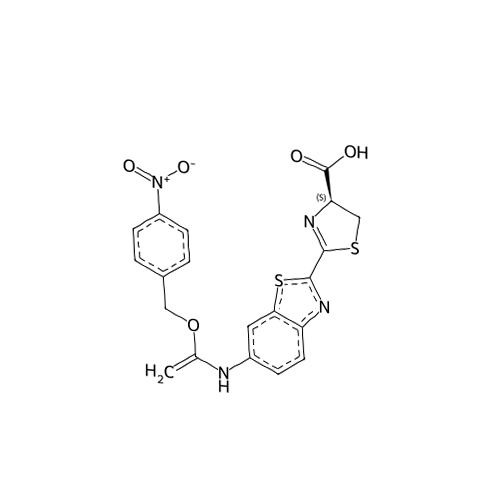 C=C(Nc1ccc2nc(C3=N[C@@H](C(=O)O)CS3)sc2c1)OCc1ccc([N+](=O)[O-])cc1